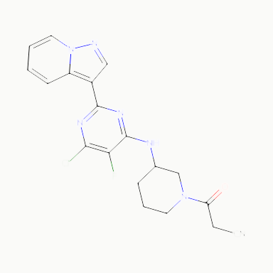 N#CCC(=O)N1CCCC(Nc2nc(-c3cnn4ccccc34)nc(Cl)c2F)C1